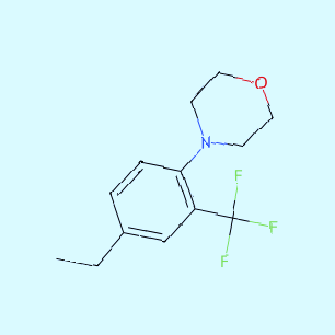 CCc1ccc(N2CCOCC2)c(C(F)(F)F)c1